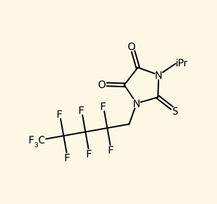 CC(C)N1C(=O)C(=O)N(CC(F)(F)C(F)(F)C(F)(F)C(F)(F)F)C1=S